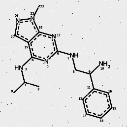 CC(C)Nc1nc(NCC(N)c2ccccc2)nc2c1cnn2C